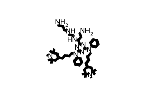 CN1C(C)(C)CC(CCCCN(c2ccccc2)c2nc(C(CCN)NCCNCCCN)nc(N(CCCCC3CC(C)(C)N(C)C(C)(C)C3)c3ccccc3)n2)CC1(C)C